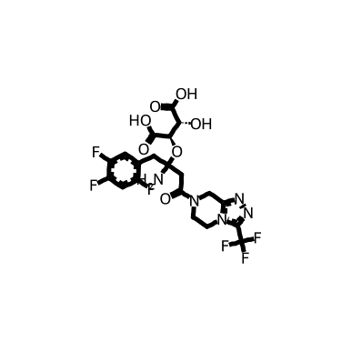 NC(CC(=O)N1CCn2c(nnc2C(F)(F)F)C1)(Cc1cc(F)c(F)cc1F)O[C@@H](C(=O)O)[C@@H](O)C(=O)O